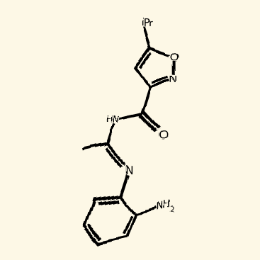 C/C(=N\c1ccccc1N)NC(=O)c1cc(C(C)C)on1